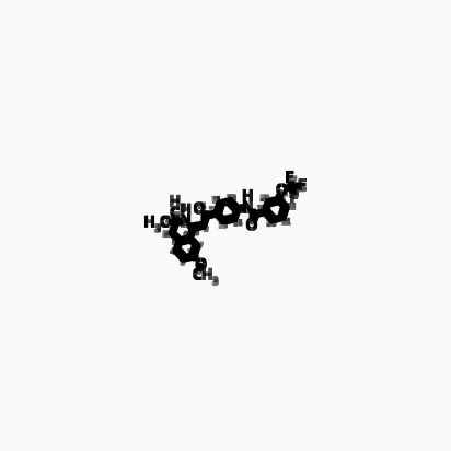 COc1ccc2c(c1)/C(=C/C(=O)c1ccc(NC(=O)c3cccc(OC(F)(F)F)c3)cc1)NC(C)(C)C2